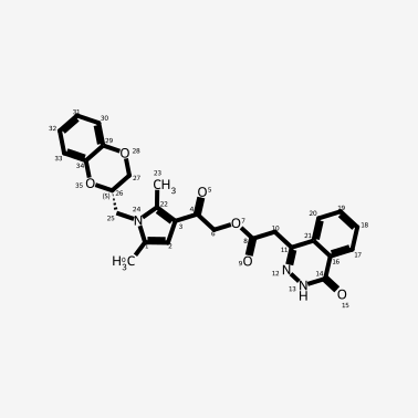 Cc1cc(C(=O)COC(=O)Cc2n[nH]c(=O)c3ccccc23)c(C)n1C[C@H]1COc2ccccc2O1